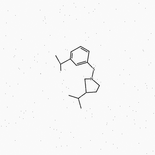 CC(C)c1cccc(SN2CCC(C(C)C)C2)c1